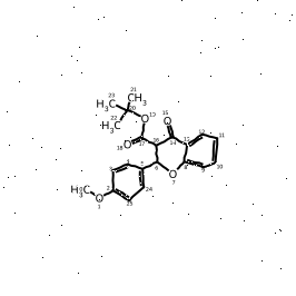 COc1ccc(C2Oc3ccccc3C(=O)C2C(=O)OC(C)(C)C)cc1